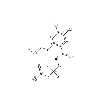 COCOc1cc(Cl)c(Cl)cc1C(=O)NCC(C)(C)CC(=O)O